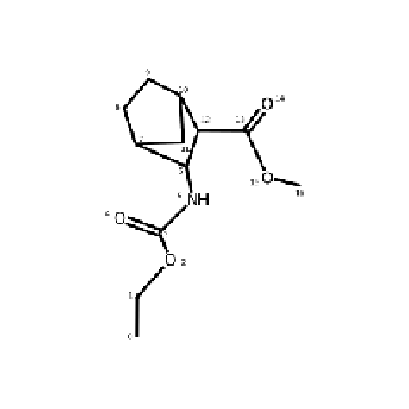 CCOC(=O)NC1C2CCC(C2)C1C(=O)OC